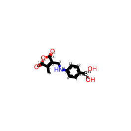 CC1=C(CNc2ccc(B(O)O)cc2)C(=O)OC1=O